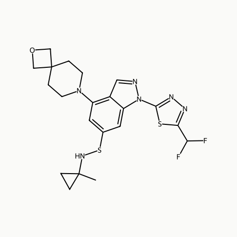 CC1(NSc2cc(N3CCC4(CC3)COC4)c3cnn(-c4nnc(C(F)F)s4)c3c2)CC1